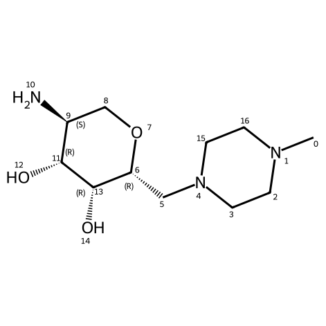 CN1CCN(C[C@H]2OC[C@H](N)[C@@H](O)[C@H]2O)CC1